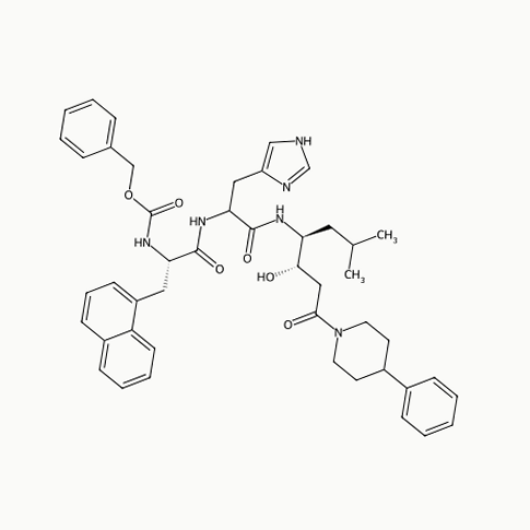 CC(C)C[C@H](NC(=O)C(Cc1c[nH]cn1)NC(=O)[C@H](Cc1cccc2ccccc12)NC(=O)OCc1ccccc1)[C@@H](O)CC(=O)N1CCC(c2ccccc2)CC1